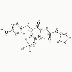 COc1ccc(COC(=O)[C@H](CC(=O)OC2CCCC2)N(C)C(=O)OC(C)(C)C)cc1